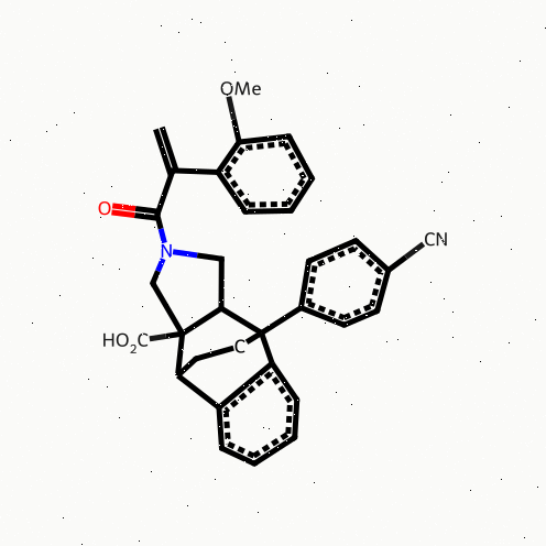 C=C(C(=O)N1CC2C3(c4ccc(C#N)cc4)CCC(c4ccccc43)C2(C(=O)O)C1)c1ccccc1OC